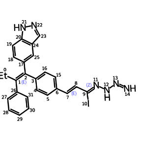 CC/C(=C(/c1ccc(/C=C/C(I)=N/NN=N)cc1)c1ccc2[nH]ncc2c1)c1ccccc1